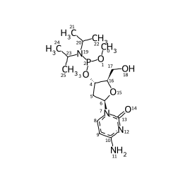 COP(O[C@H]1C[C@H](n2ccc(N)nc2=O)O[C@@H]1CO)N(C(C)C)C(C)C